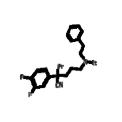 CCN(CCCC(C#N)(c1ccc(F)c(F)c1)C(C)C)CCc1ccccc1